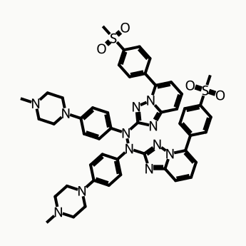 CN1CCN(c2ccc(N(c3nc4cccc(-c5ccc(S(C)(=O)=O)cc5)n4n3)N(c3ccc(N4CCN(C)CC4)cc3)c3nc4cccc(-c5ccc(S(C)(=O)=O)cc5)n4n3)cc2)CC1